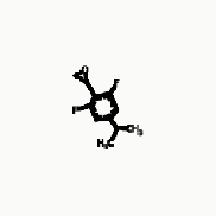 CC(C)c1cc(F)c(C2CO2)c(F)c1